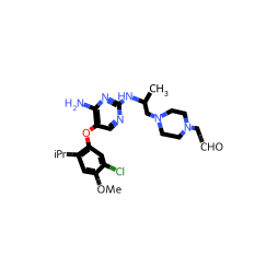 COc1cc(C(C)C)c(Oc2cnc(NC(C)CN3CCN(CC=O)CC3)nc2N)cc1Cl